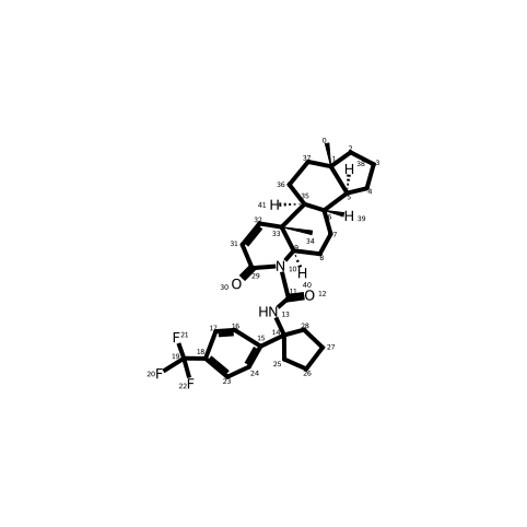 C[C@@]12CCC[C@H]1[C@@H]1CC[C@H]3N(C(=O)NC4(c5ccc(C(F)(F)F)cc5)CCCC4)C(=O)C=C[C@]3(C)[C@H]1CC2